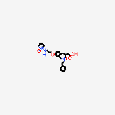 O=C(O)CC1Cc2ccc(OCCCNc3cccc[n+]3[O-])cc2CN(CCc2ccccc2)C1=O